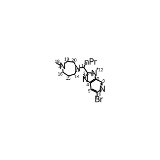 CCCC(c1nc2cc(Br)ncc2n1C)N1CCCN(C)CC1